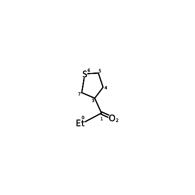 CCC(=O)C1CCSC1